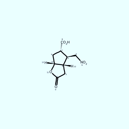 O=C1C[C@H]2[C@H](C[N+](=O)[O-])[C@@H](C(=O)O)C[C@H]2O1